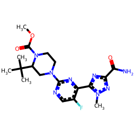 COC(=O)N1CCN(c2ncc(F)c(-c3nc(C(N)=O)nn3C)n2)CC1C(C)(C)C